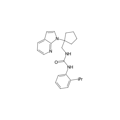 CC(C)c1ccccc1NC(=O)NCC1(n2ccc3cccnc32)CCCC1